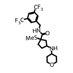 CSC1(C(=O)NCc2cc(C(F)(F)F)cc(C(F)(F)F)c2)CCC(NC2CCOCC2)C1